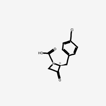 O=C1CN(C(=O)O)[C@H]1Cc1ccc(Cl)cc1